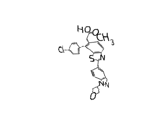 Cc1cc2nc(-c3ccc4c(cnn4C4COC4)c3)sc2c(-c2ccc(Cl)cc2)c1CC(=O)O